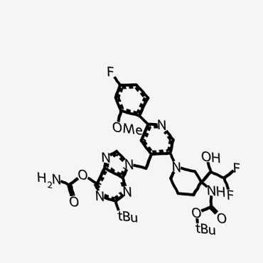 COc1cc(F)ccc1-c1cc(Cn2cnc3c(OC(N)=O)nc(C(C)(C)C)nc32)c(N2CCCC(NC(=O)OC(C)(C)C)(C(O)C(F)F)C2)cn1